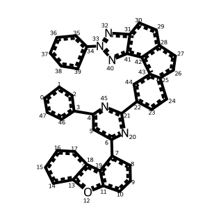 c1ccc(-c2cc(-c3cccc4oc5ccccc5c34)nc(-c3ccc4ccc5ccc6nn(-c7ccccc7)nc6c5c4c3)n2)cc1